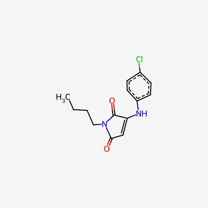 CCCCN1C(=O)C=C(Nc2ccc(Cl)cc2)C1=O